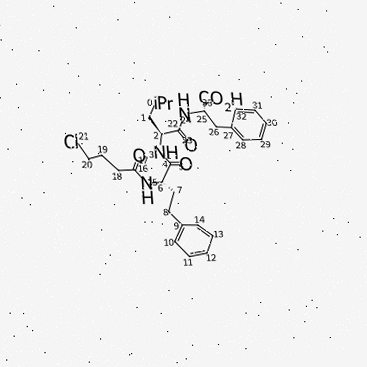 CC(C)C[C@H](NC(=O)[C@H](CCc1ccccc1)NC(=O)CCCCl)C(=O)N[C@@H](Cc1ccccc1)C(=O)O